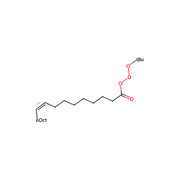 CCCCCCCC/C=C\CCCCCCCC(=O)OOOC(C)(C)C